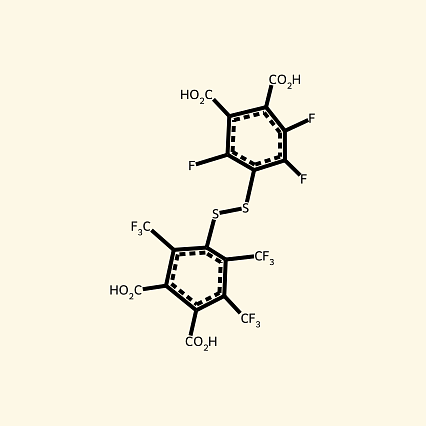 O=C(O)c1c(F)c(F)c(SSc2c(C(F)(F)F)c(C(=O)O)c(C(=O)O)c(C(F)(F)F)c2C(F)(F)F)c(F)c1C(=O)O